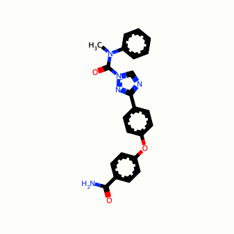 CN(C(=O)n1cnc(-c2ccc(Oc3ccc(C(N)=O)cc3)cc2)n1)c1ccccc1